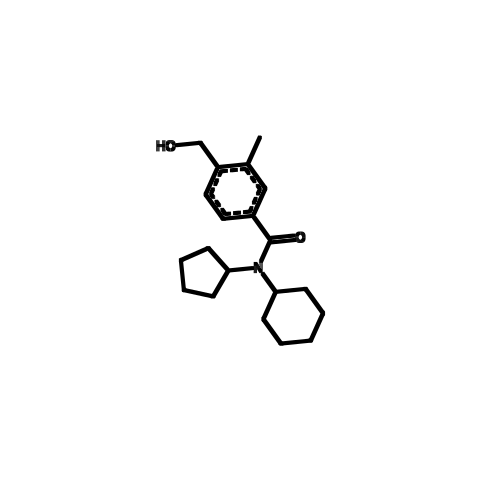 Cc1cc(C(=O)N(C2CCCCC2)C2CCCC2)ccc1CO